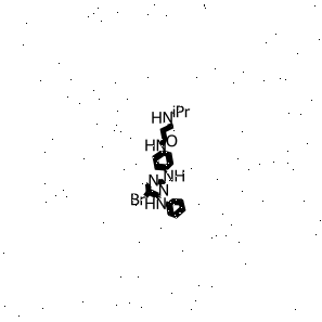 CC(C)NCCC(=O)Nc1ccc(Nc2ncc(Br)c(Nc3ccccc3)n2)cc1